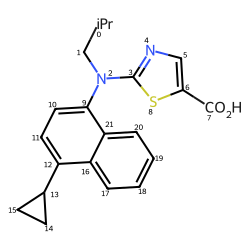 CC(C)CN(c1ncc(C(=O)O)s1)c1ccc(C2CC2)c2ccccc12